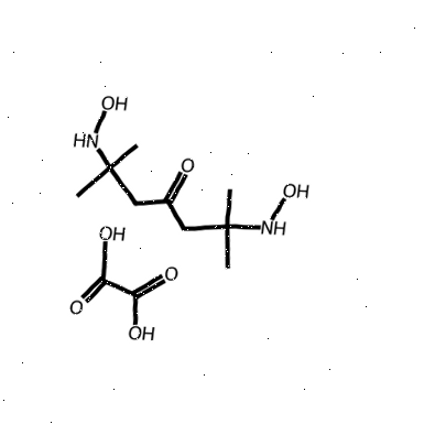 CC(C)(CC(=O)CC(C)(C)NO)NO.O=C(O)C(=O)O